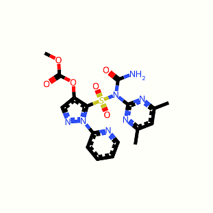 COC(=O)Oc1cnn(-c2ccccn2)c1S(=O)(=O)N(C(N)=O)c1nc(C)cc(C)n1